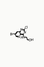 OCCNc1nc(Cl)nc2cc(Br)cnc12